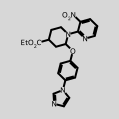 CCOC(=O)C1CCN(c2ncccc2[N+](=O)[O-])C(Oc2ccc(-n3ccnc3)cc2)C1